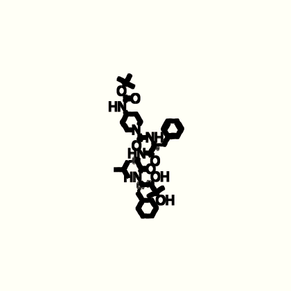 CC(C)C[C@H](NC(=O)[C@H](Cc1ccccc1)NC(=O)N1CCC(NC(=O)OC(C)(C)C)CC1)C(=O)N[C@@H](CC1CCCCC1)[C@H](O)C(C)(C)O